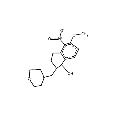 COc1ccc2c(c1[N+](=O)[O-])CCC(CN1CCOCC1)C2O